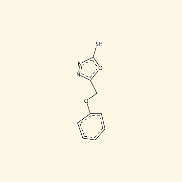 Sc1nnc(COc2ccccc2)o1